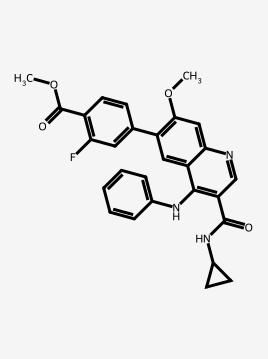 COC(=O)c1ccc(-c2cc3c(Nc4ccccc4)c(C(=O)NC4CC4)cnc3cc2OC)cc1F